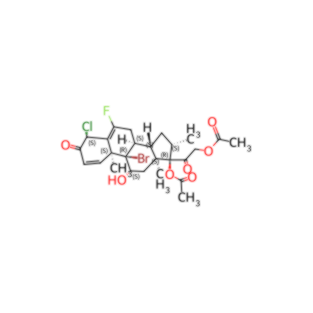 CC(=O)OCC(=O)[C@@]1(OC(C)=O)[C@@H](C)C[C@H]2[C@@H]3CC(F)=C4[C@H](Cl)C(=O)C=C[C@]4(C)[C@@]3(Br)[C@@H](O)C[C@@]21C